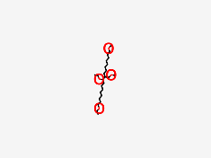 CCOCCCCCCCCC(OCC)C(CCCCCCCCOC)COC